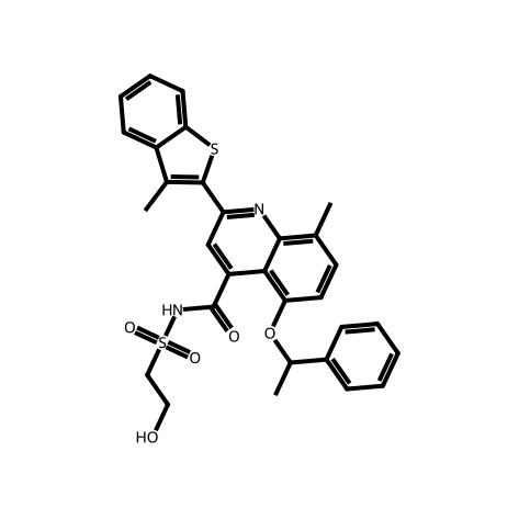 Cc1c(-c2cc(C(=O)NS(=O)(=O)CCO)c3c(OC(C)c4ccccc4)ccc(C)c3n2)sc2ccccc12